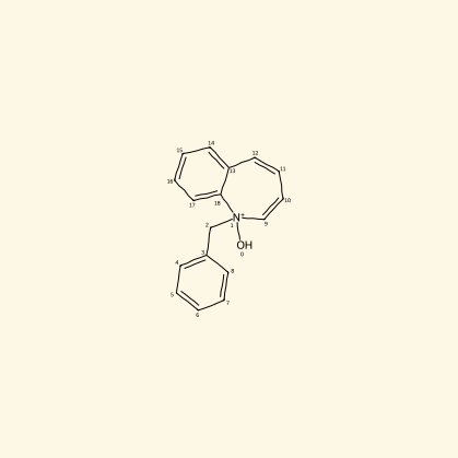 O[N+]1(Cc2ccccc2)C=CC=Cc2ccccc21